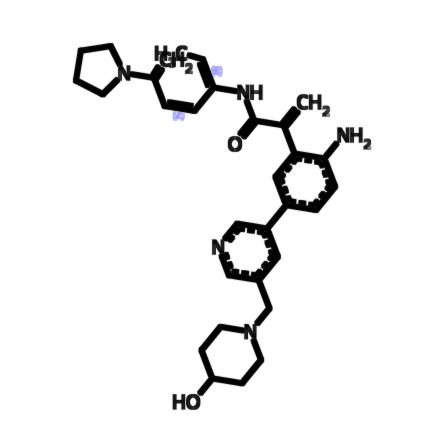 C=C(C(=O)NC(/C=C\C(=C)N1CCCC1)=C/C)c1cc(-c2cncc(CN3CCC(O)CC3)c2)ccc1N